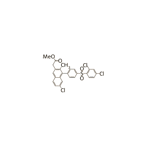 COC(=O)Cc1cc2ccc(Cl)cc2c(-c2ccc(S(=O)(=O)c3ccc(Cl)cc3Cl)cc2)c1C